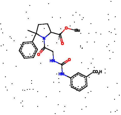 CC(C)(C)OC(=O)C1CCC(C)(c2ccccc2)N1C(=O)CNC(=O)Nc1cccc(C(=O)O)c1